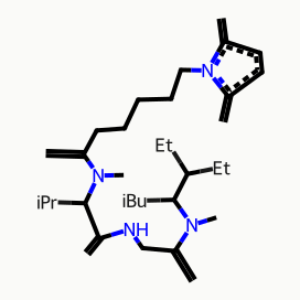 C=C(NCC(=C)N(C)C(C(C)CC)C(CC)CC)C(C(C)C)N(C)C(=C)CCCCCn1c(=C)ccc1=C